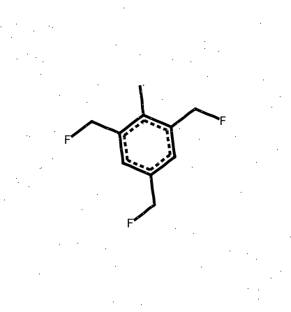 [CH2]c1c(CF)cc(CF)cc1CF